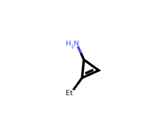 CCC1=CC1N